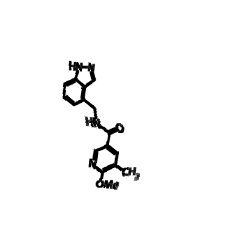 COc1ncc(C(=O)NCc2cccc3[nH]ncc23)cc1C